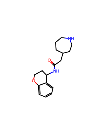 O=C(CC1CCCNCC1)NC1CCOc2ccccc21